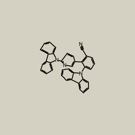 N#Cc1cccc(-n2c3ccccc3c3ccccc32)c1-c1ccc(-n2c3ccccc3c3ccccc32)nc1